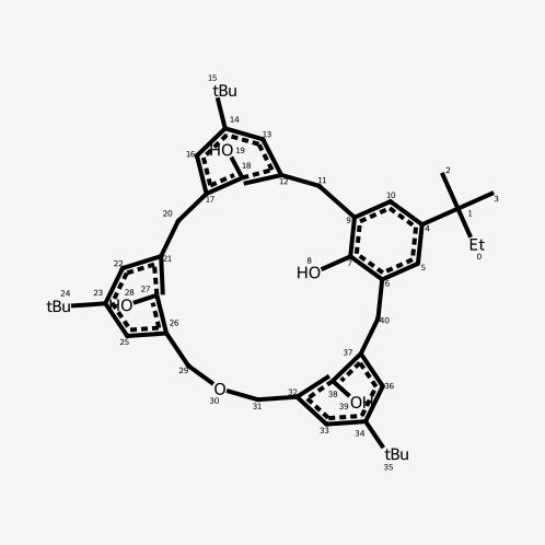 CCC(C)(C)c1cc2c(O)c(c1)Cc1cc(C(C)(C)C)cc(c1O)Cc1cc(C(C)(C)C)cc(c1O)COCc1cc(C(C)(C)C)cc(c1O)C2